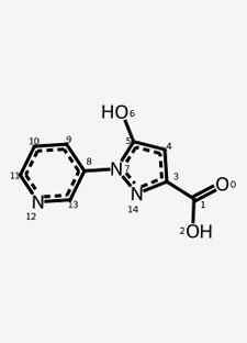 O=C(O)c1cc(O)n(-c2cccnc2)n1